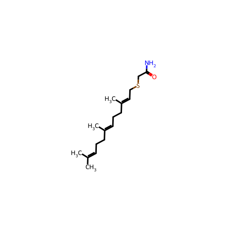 CC(C)=CCC/C(C)=C/CC/C(C)=C/CSCC(N)=O